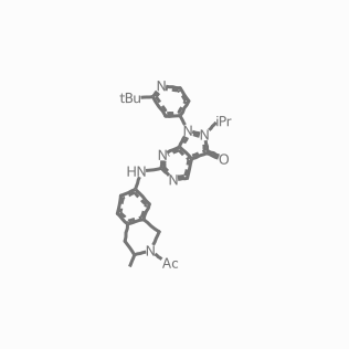 CC(=O)N1Cc2cc(Nc3ncc4c(=O)n(C(C)C)n(-c5ccnc(C(C)(C)C)c5)c4n3)ccc2CC1C